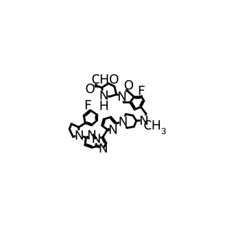 CN(Cc1cc(F)c2c(c1)CN(C1CCC(C(=O)C=O)NC1)C2=O)C1CCN(c2cccc(-c3cnc4ccc(N5CCCC5c5cccc(F)c5)nn34)n2)CC1